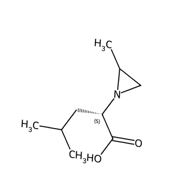 CC(C)C[C@@H](C(=O)O)N1CC1C